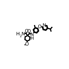 COC1CCC(C(N)=O)(C(=O)Nc2ccc(Oc3ccc(C(C)C)cn3)c(C)c2)CC1